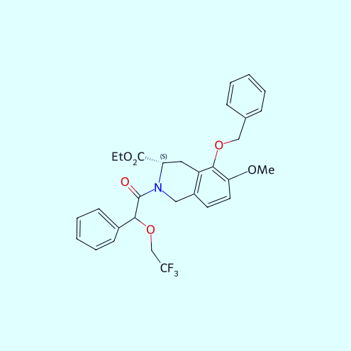 CCOC(=O)[C@@H]1Cc2c(ccc(OC)c2OCc2ccccc2)CN1C(=O)C(OCC(F)(F)F)c1ccccc1